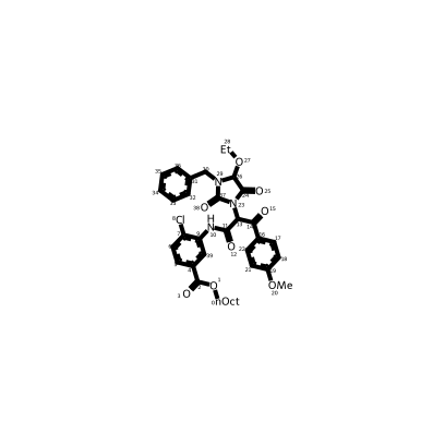 CCCCCCCCOC(=O)c1ccc(Cl)c(NC(=O)C(C(=O)c2ccc(OC)cc2)N2C(=O)C(OCC)N(Cc3ccccc3)C2=O)c1